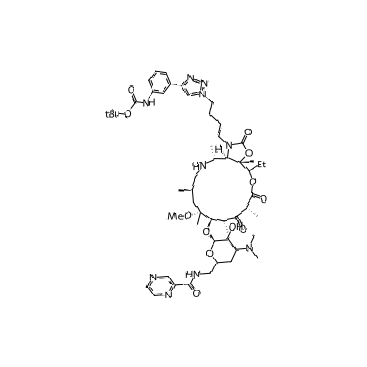 CC[C@H]1OC(=O)[C@H](C)C(=O)[C@H](C)[C@@H](O[C@@H]2OC(CNC(=O)c3cnccn3)CC(N(C)C)C2O)[C@](C)(OC)C[C@@H](C)CN[C@H](C)[C@H]2N(CCCCn3cc(-c4cccc(NC(=O)OC(C)(C)C)c4)nn3)C(=O)O[C@]12C